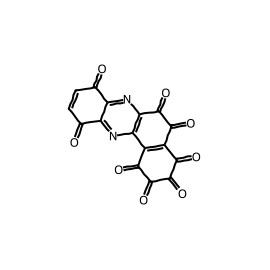 O=c1c(=O)c(=O)c2c(c1=O)c(=O)c(=O)c1nc3c(=O)ccc(=O)c3nc12